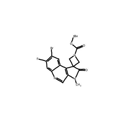 CN1C(=O)C2(CN(C(=O)OC(C)(C)C)C2)c2c1cnc1cc(F)c(Br)cc21